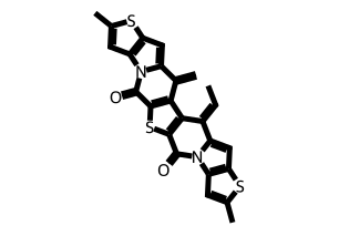 C=c1c2c(sc3c(=O)n4c(cc5sc(C)cc54)/c(=C/C)c32)c(=O)n2c1cc1sc(C)cc12